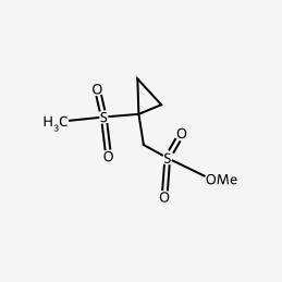 COS(=O)(=O)CC1(S(C)(=O)=O)CC1